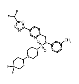 Cc1cccc(N(Cc2ccc(-c3nnc(C(F)F)o3)cn2)S(=O)(=O)C2CCN(C3CCC(F)(F)CC3)CC2)c1